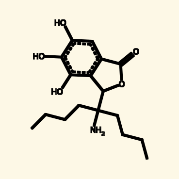 CCCCC(N)(CCCC)C1OC(=O)c2cc(O)c(O)c(O)c21